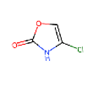 O=c1[nH]c(Cl)co1